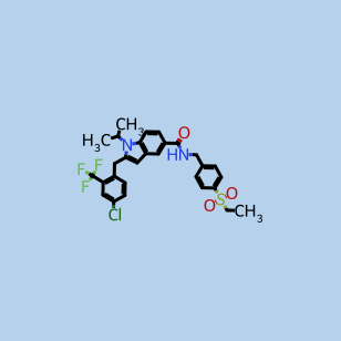 CCS(=O)(=O)c1ccc(CNC(=O)c2ccc3c(c2)cc(Cc2ccc(Cl)cc2C(F)(F)F)n3C(C)C)cc1